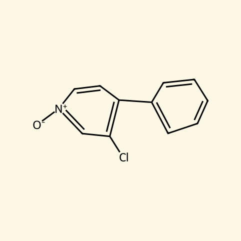 [O-][n+]1ccc(-c2ccccc2)c(Cl)c1